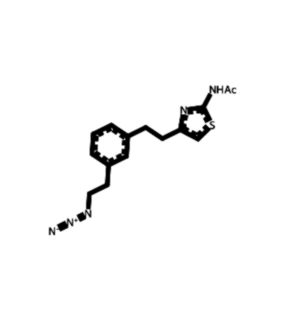 CC(=O)Nc1nc(CCc2cccc(CCN=[N+]=[N-])c2)cs1